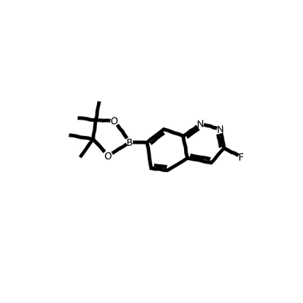 CC1(C)OB(c2ccc3cc(F)nnc3c2)OC1(C)C